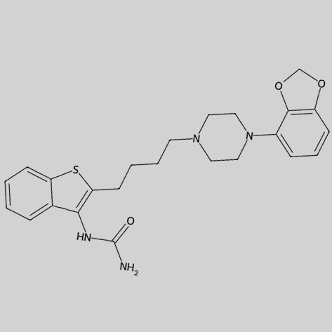 NC(=O)Nc1c(CCCCN2CCN(c3cccc4c3OCO4)CC2)sc2ccccc12